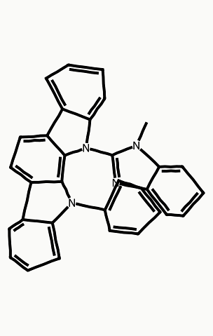 Cn1c(-n2c3ccccc3c3ccc4c5ccccc5n(-c5ccccc5)c4c32)nc2ccccc21